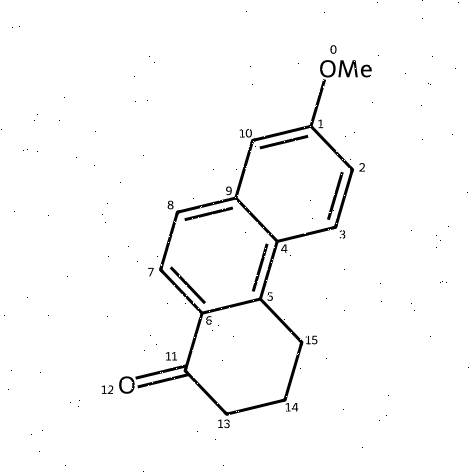 COc1ccc2c3c(ccc2c1)C(=O)CCC3